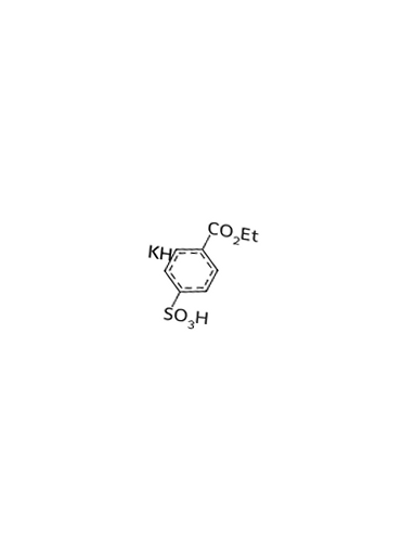 CCOC(=O)c1ccc(S(=O)(=O)O)cc1.[KH]